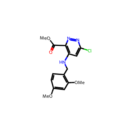 COC(=O)c1nnc(Cl)cc1NCc1ccc(OC)cc1OC